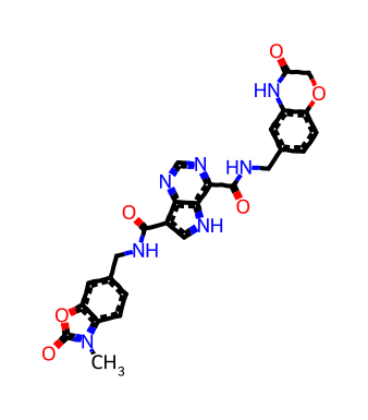 Cn1c(=O)oc2cc(CNC(=O)c3c[nH]c4c(C(=O)NCc5ccc6c(c5)NC(=O)CO6)ncnc34)ccc21